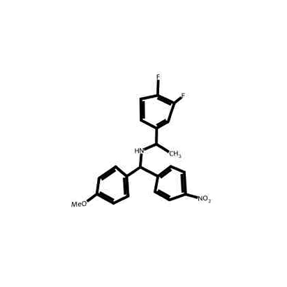 COc1ccc(C(NC(C)c2ccc(F)c(F)c2)c2ccc([N+](=O)[O-])cc2)cc1